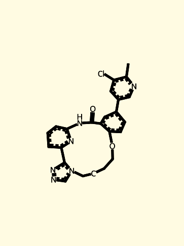 Cc1ncc(-c2ccc3c(c2)C(=O)Nc2cccc(n2)-c2nncn2CCCCO3)cc1Cl